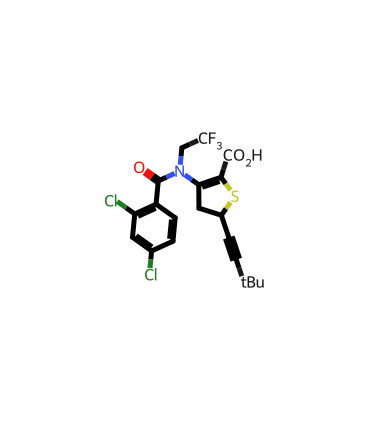 CC(C)(C)C#CC1CC(N(CC(F)(F)F)C(=O)c2ccc(Cl)cc2Cl)=C(C(=O)O)S1